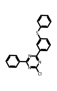 Clc1nc(-c2ccccc2)nc(-c2cccc(Sc3ccccc3)c2)n1